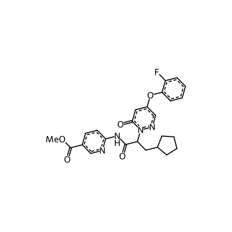 COC(=O)c1ccc(NC(=O)C(CC2CCCC2)n2ncc(Oc3ccccc3F)cc2=O)nc1